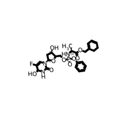 C[C@H](NP(=O)(OCC1O[C@@H](N2C=C(F)C(O)NC2=O)C[C@H]1O)Oc1ccccc1)C(=O)OCC1=CC=CCC1